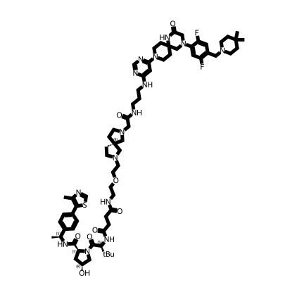 Cc1ncsc1-c1ccc([C@H](C)NC(=O)[C@@H]2C[C@@H](O)CN2C(=O)[C@@H](NC(=O)CCC(=O)NCCOCCN2CC[C@@]3(CCN(CC(=O)NCCCNc4cc(N5CCC6(CC5)CN(c5cc(F)c(CN7CCC(C)(C)CC7)cc5F)CC(=O)N6)ncn4)C3)C2)C(C)(C)C)cc1